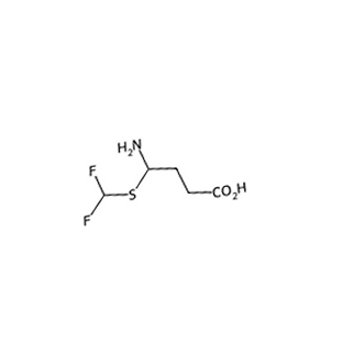 NC(CCC(=O)O)SC(F)F